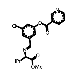 COC(=O)C(N=Cc1cc(Cl)cc(OC(=O)c2cccnc2)c1)C(C)C